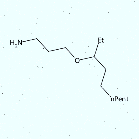 CCCCCCCC(CC)OCCCN